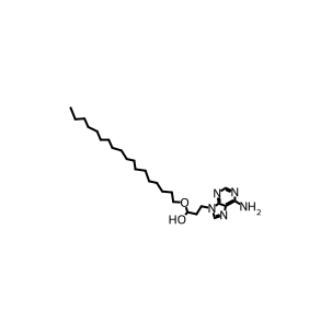 CCCCCCCCCCCCCCCCCCOC(O)CCn1cnc2c(N)ncnc21